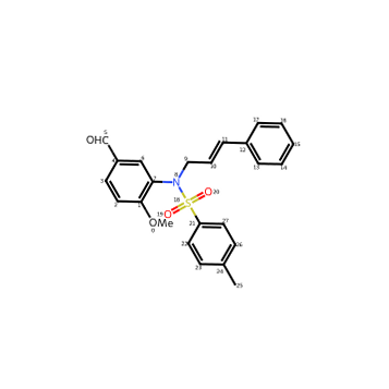 COc1ccc(C=O)cc1N(C/C=C/c1ccccc1)S(=O)(=O)c1ccc(C)cc1